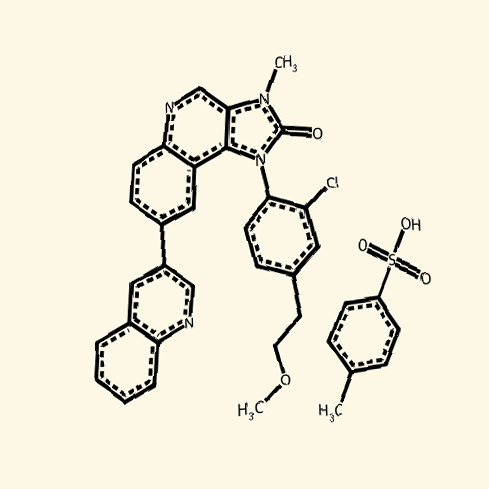 COCCc1ccc(-n2c(=O)n(C)c3cnc4ccc(-c5cnc6ccccc6c5)cc4c32)c(Cl)c1.Cc1ccc(S(=O)(=O)O)cc1